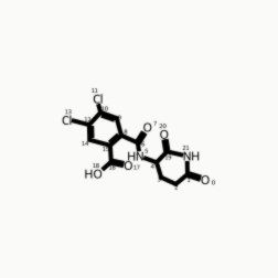 O=C1CCC(NC(=O)c2cc(Cl)c(Cl)cc2C(=O)O)C(=O)N1